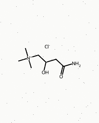 C[N+](C)(C)CC(O)CC(N)=O.[Cl-]